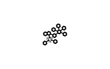 c1ccc(-c2nc(-c3ccccc3)nc(-c3c(-c4cccc(-c5cc(-c6ccccc6)c(-c6ccccc6)c(-c6ccccc6)c5-c5ccccc5)c4)ccc4ccccc34)n2)cc1